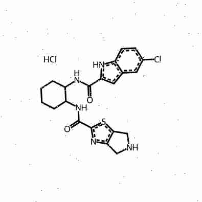 Cl.O=C(NC1CCCCC1NC(=O)c1nc2c(s1)CNC2)c1cc2cc(Cl)ccc2[nH]1